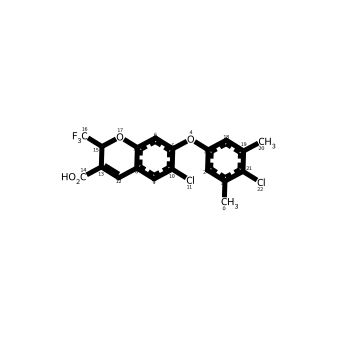 Cc1cc(Oc2cc3c(cc2Cl)C=C(C(=O)O)C(C(F)(F)F)O3)cc(C)c1Cl